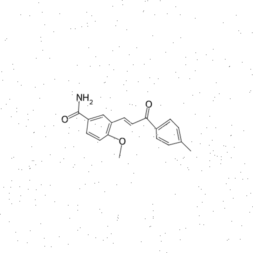 COc1ccc(C(N)=O)cc1C=CC(=O)c1ccc(C)cc1